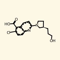 O=C(O)c1c(Cl)ccc2nc(N3CC[C@@H](CCCO)C3)ccc12